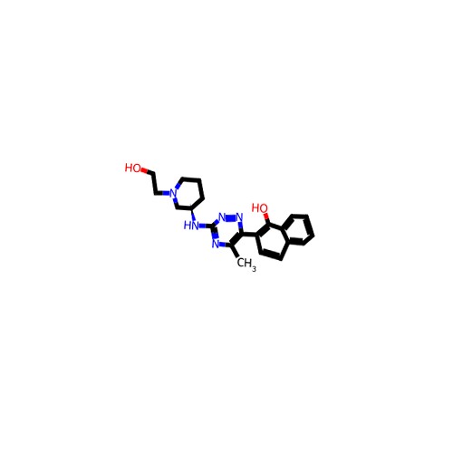 Cc1nc(N[C@@H]2CCCN(CCO)C2)nnc1-c1ccc2ccccc2c1O